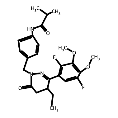 CCC1CC(=O)N(Cc2ccc(NC(=O)C(C)C)cc2)N=C1c1cc(F)c(OC)c(OC)c1F